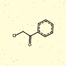 O=C([CH]Cl)c1ccccc1